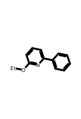 CCOc1c[c]cc(-c2ccccc2)n1